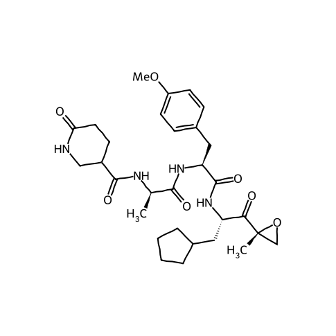 COc1ccc(C[C@H](NC(=O)[C@@H](C)NC(=O)C2CCC(=O)NC2)C(=O)N[C@@H](CC2CCCC2)C(=O)[C@@]2(C)CO2)cc1